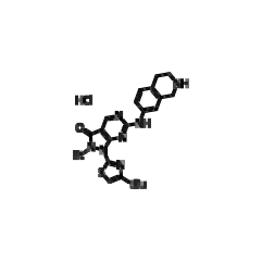 CCn1c(=O)c2cnc(Nc3ccc4c(c3)CNCC4)nc2n1-c1nc(C(C)(C)C)cs1.Cl